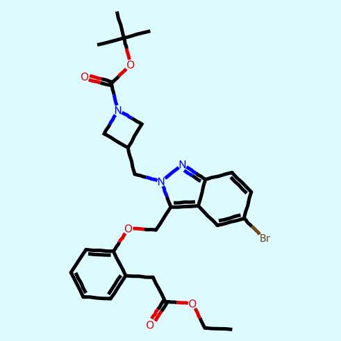 CCOC(=O)Cc1ccccc1OCc1c2cc(Br)ccc2nn1CC1CN(C(=O)OC(C)(C)C)C1